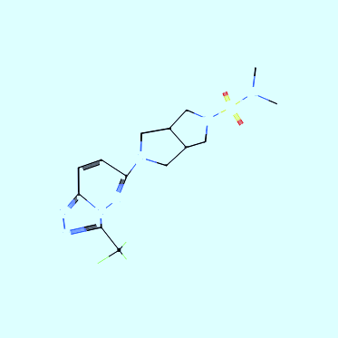 CN(C)S(=O)(=O)N1CC2CN(c3ccc4nnc(C(F)(F)F)n4n3)CC2C1